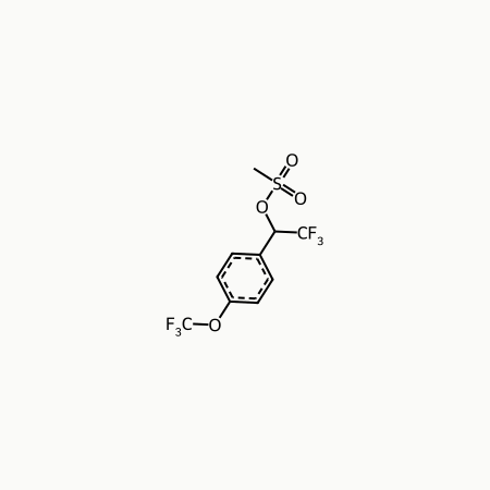 CS(=O)(=O)OC(c1ccc(OC(F)(F)F)cc1)C(F)(F)F